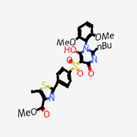 CCCCc1nc(=O)c(S(=O)(=O)c2ccc(-c3nc(C(=O)OC)c(C)s3)cc2)c(O)n1-c1c(OC)cccc1OC